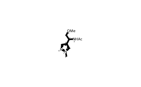 COCC(NC(C)=O)c1cnn(C)c1